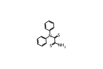 NC(=S)C(=S)N(c1ccccc1)c1ccccc1